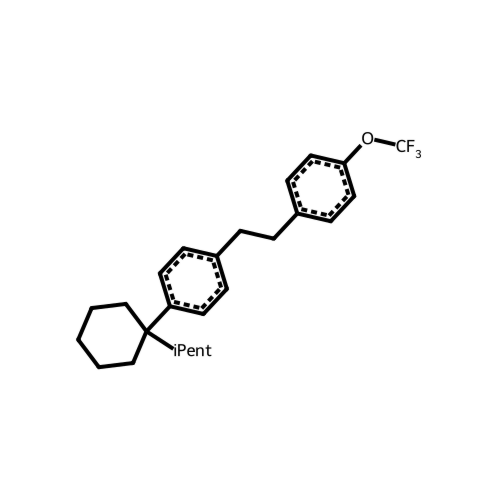 CCCC(C)C1(c2ccc(CCc3ccc(OC(F)(F)F)cc3)cc2)CCCCC1